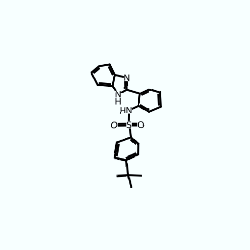 CC(C)(C)c1ccc(S(=O)(=O)Nc2ccccc2-c2nc3ccccc3[nH]2)cc1